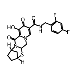 O=C(NCc1ccc(F)cc1F)c1cn2c(c(O)c1=O)C(=O)N1C(C2)S[C@@H]2CC[C@H]1C2